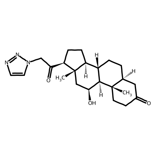 C[C@]12CCC(=O)C[C@@H]1CC[C@@H]1[C@@H]2[C@@H](O)C[C@]2(C)[C@@H](C(=O)Cn3ccnn3)CC[C@@H]12